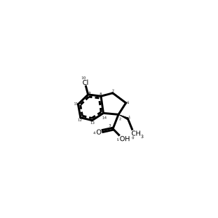 CC[C@]1(C(=O)O)CCc2c(Cl)cccc21